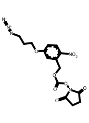 [N-]=[N+]=NCCCOc1ccc([N+](=O)[O-])c(COC(=O)ON2C(=O)CCC2=O)c1